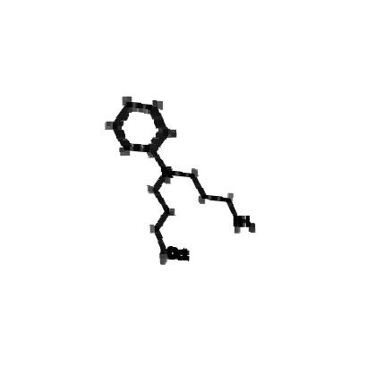 CCCCCCCCCCCN(CCCN)c1ccccc1